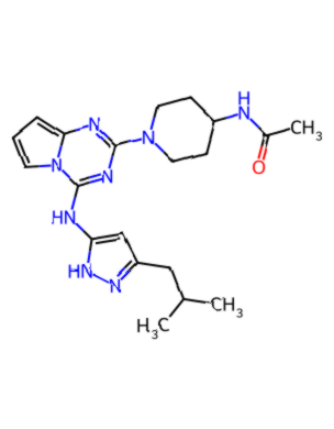 CC(=O)NC1CCN(c2nc(Nc3cc(CC(C)C)n[nH]3)n3cccc3n2)CC1